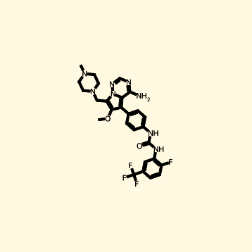 COc1c(-c2ccc(NC(=O)Nc3cc(C(F)(F)F)ccc3F)cc2)c2c(N)ncnn2c1CN1CCN(C)CC1